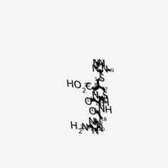 Cn1nnnc1SCC1=C(C(=O)O)N2C(=O)C(NC(=O)Cn3nnc(N)n3)[C@@H]2SC1